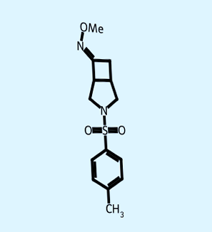 CON=C1CC2CN(S(=O)(=O)c3ccc(C)cc3)CC12